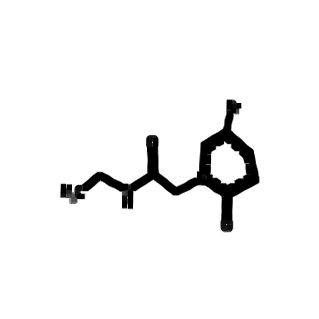 CCNC(=O)Cn1cc(Br)ccc1=O